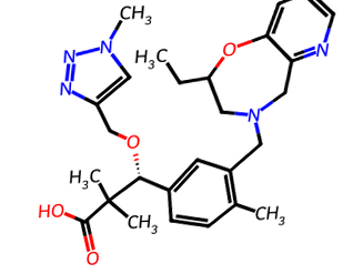 CCC1CN(Cc2cc([C@@H](OCc3cn(C)nn3)C(C)(C)C(=O)O)ccc2C)Cc2ncccc2O1